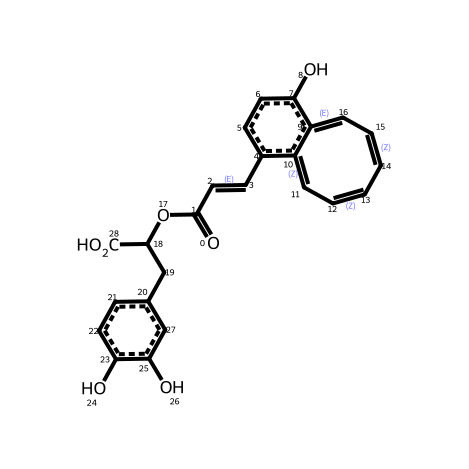 O=C(/C=C/c1ccc(O)c2/c1=C\C=C/C=C\C=2)OC(Cc1ccc(O)c(O)c1)C(=O)O